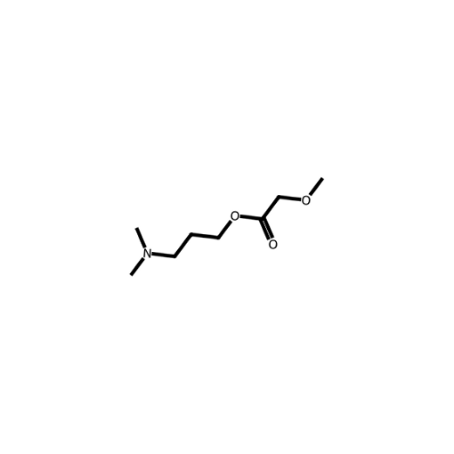 COCC(=O)OCCCN(C)C